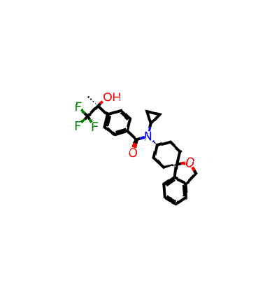 C[C@](O)(c1ccc(C(=O)N(C2CC2)[C@H]2CC[C@@]3(CC2)OCc2ccccc23)cc1)C(F)(F)F